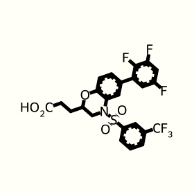 O=C(O)CCC1CN(S(=O)(=O)c2cccc(C(F)(F)F)c2)c2cc(-c3cc(F)cc(F)c3F)ccc2O1